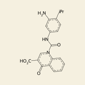 CC(C)c1ccc(NC(=O)n2cc(C(=O)O)c(=O)c3ccccc32)cc1N